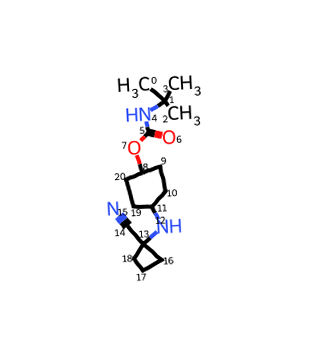 CC(C)(C)NC(=O)OC1CCC(NC2(C#N)CCC2)CC1